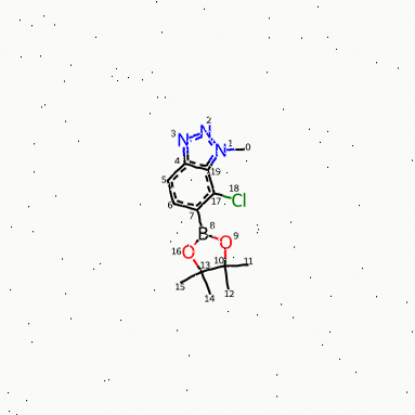 Cn1nnc2ccc(B3OC(C)(C)C(C)(C)O3)c(Cl)c21